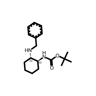 CC(C)(C)OC(=O)N[C@H]1CCCC[C@@H]1NCc1ccccc1